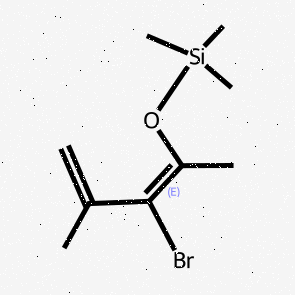 C=C(C)/C(Br)=C(/C)O[Si](C)(C)C